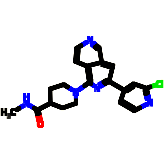 CNC(=O)C1CCN(c2nc(-c3ccnc(Cl)c3)cc3cnccc23)CC1